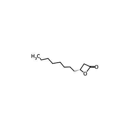 CCCCCCCC[C@@H]1CC(=O)O1